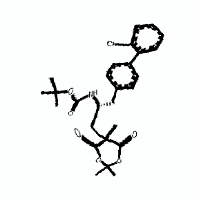 CC(C)(C)OC(=O)N[C@H](Cc1ccc(-c2ccccc2Cl)cc1)CC1(C)C(=O)OC(C)(C)OC1=O